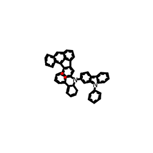 C1=CCC(N(c2ccc3c(c2)-c2cccc4cc5ccccc5c-3c24)c2ccc3c4ccccc4n(-c4ccccc4)c3c2)C(c2ccccc2)=C1